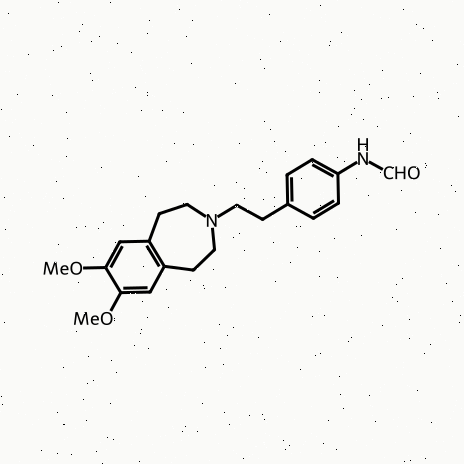 COc1cc2c(cc1OC)CCN(CCc1ccc(NC=O)cc1)CC2